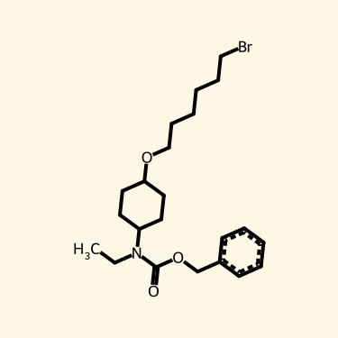 CCN(C(=O)OCc1ccccc1)C1CCC(OCCCCCCBr)CC1